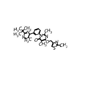 Cc1nc(COc2nc(C)n(-c3cccc(-c4nc(C(C)(C)C)ncc4C)c3)c(=O)c2C)cs1